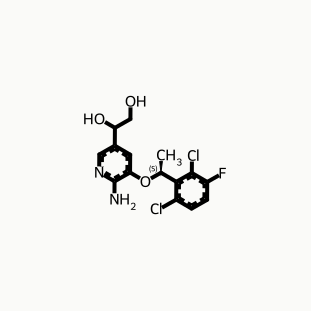 C[C@H](Oc1cc(C(O)CO)cnc1N)c1c(Cl)ccc(F)c1Cl